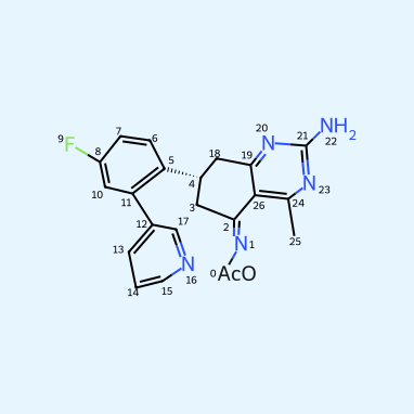 CC(=O)O/N=C1\C[C@H](c2ccc(F)cc2-c2cccnc2)Cc2nc(N)nc(C)c21